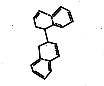 [C]1c2ccccc2C=CC1C1CC=Cc2ccccc21